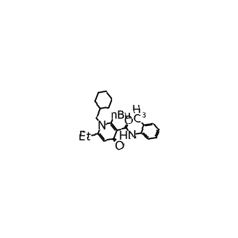 CCCCc1c(C(=O)Nc2ccccc2C)c(=O)cc(CC)n1CC1CCCCC1